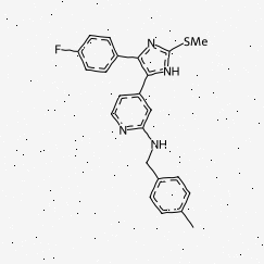 CSc1nc(-c2ccc(F)cc2)c(-c2ccnc(NCc3ccc(C)cc3)c2)[nH]1